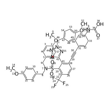 COc1ccc(CN(Cc2ccc(OC)cc2)S(=O)(=O)c2c(C(F)(F)F)ccc(C#CC3=CCC(NC(=O)O)CC3)c2-c2nnn(Cc3ccc(OC)cc3)n2)cc1